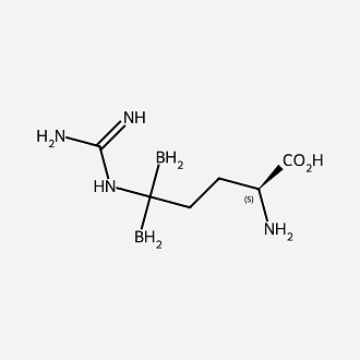 BC(B)(CC[C@H](N)C(=O)O)NC(=N)N